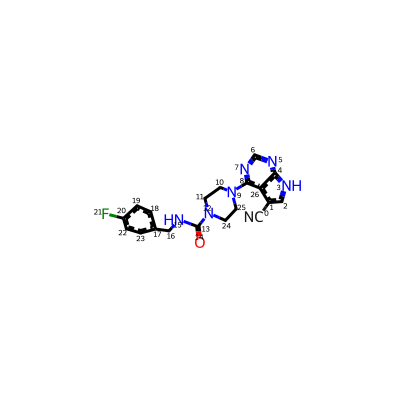 N#Cc1c[nH]c2ncnc(N3CCN(C(=O)NCc4ccc(F)cc4)CC3)c12